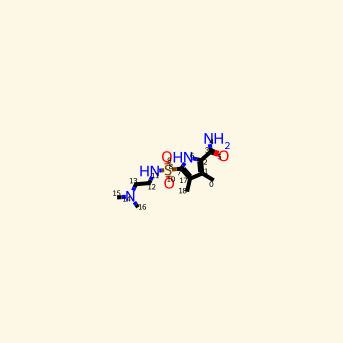 Cc1c(C(N)=O)[nH]c(S(=O)(=O)NCCN(C)C)c1C